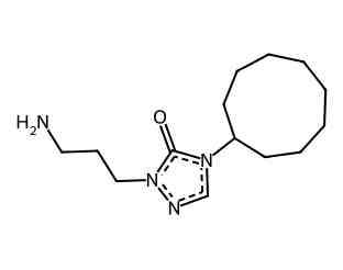 NCCCn1ncn(C2CCCCCCCC2)c1=O